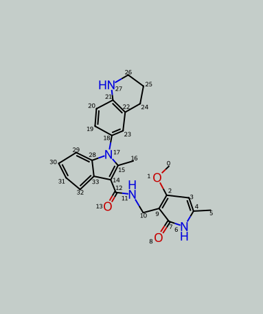 COc1cc(C)[nH]c(=O)c1CNC(=O)c1c(C)n(-c2ccc3c(c2)CCCN3)c2ccccc12